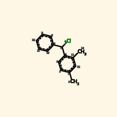 Cc1ccc(C(Cl)c2ccccc2)c(C)c1